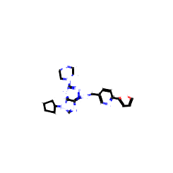 c1coc(-c2ccc(CNc3nc(N4CCNCC4)nc4c3ncn4C3CCCC3)cn2)c1